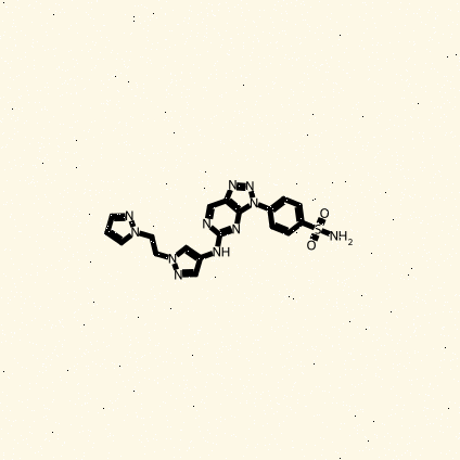 NS(=O)(=O)c1ccc(-n2nnc3cnc(Nc4cnn(CCn5cccn5)c4)nc32)cc1